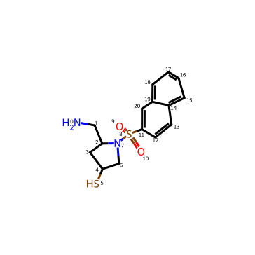 NCC1CC(S)CN1S(=O)(=O)c1ccc2ccccc2c1